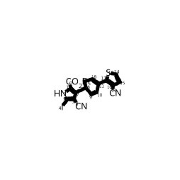 CCOC(=O)c1[nH]c(I)c(C#N)c1C1C=CC(c2sccc2C#N)=CC1